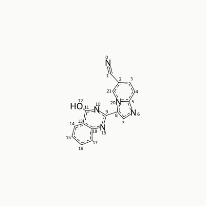 N#Cc1ccc2ncc(-c3nc(O)c4ccccc4n3)n2c1